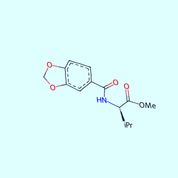 COC(=O)[C@H](NC(=O)c1ccc2c(c1)OCO2)C(C)C